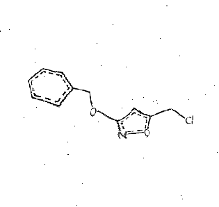 ClCc1cc(OCc2ccccc2)no1